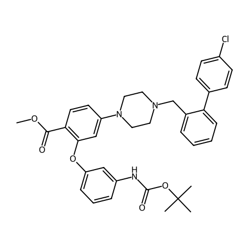 COC(=O)c1ccc(N2CCN(Cc3ccccc3-c3ccc(Cl)cc3)CC2)cc1Oc1cccc(NC(=O)OC(C)(C)C)c1